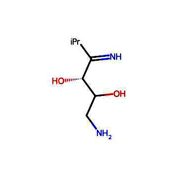 CC(C)C(=N)[C@@H](O)C(O)CN